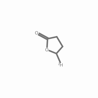 [2H]C1CCC(=O)O1